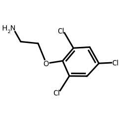 NCCOc1c(Cl)cc(Cl)cc1Cl